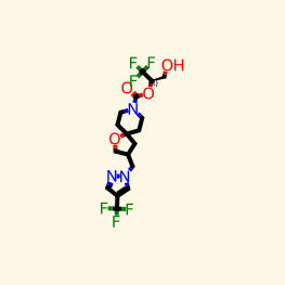 O=C(O[C@H](CO)C(F)(F)F)N1CCC2(CC1)CC(Cn1cc(C(F)(F)F)cn1)CO2